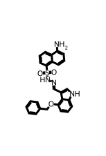 Nc1cccc2c(S(=O)(=O)N/N=C/c3c[nH]c4cccc(OCc5ccccc5)c34)cccc12